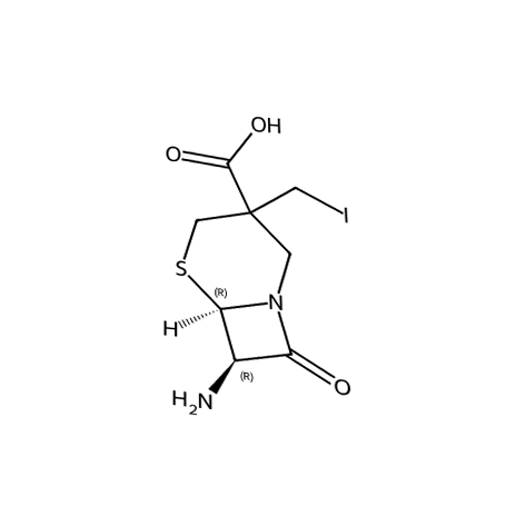 N[C@@H]1C(=O)N2CC(CI)(C(=O)O)CS[C@H]12